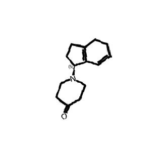 O=C1CCN([C@H]2CCC3=C2C=CCC3)CC1